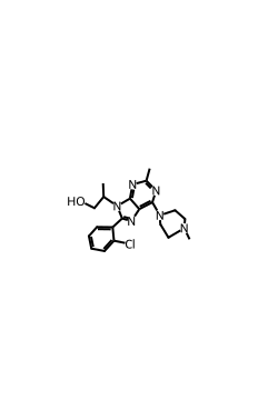 Cc1nc(N2CCN(C)CC2)c2nc(-c3ccccc3Cl)n(C(C)CO)c2n1